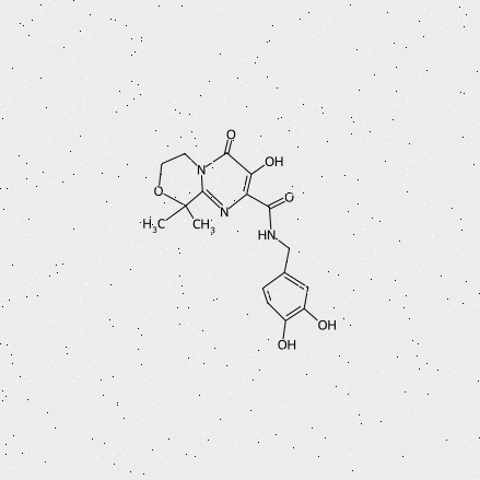 CC1(C)OCCn2c1nc(C(=O)NCc1ccc(O)c(O)c1)c(O)c2=O